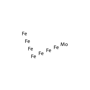 [Fe].[Fe].[Fe].[Fe].[Fe].[Fe].[Fe].[Mo]